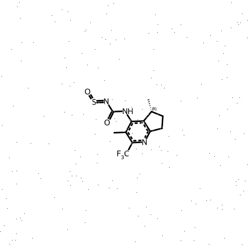 Cc1c(C(F)(F)F)nc2c(c1NC(=O)N=S=O)[C@H](C)CC2